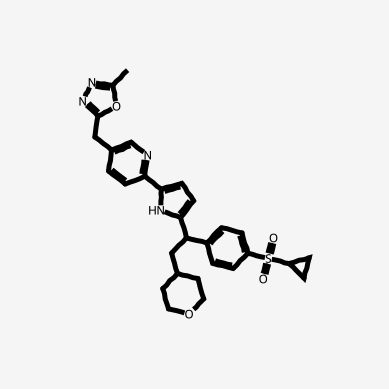 Cc1nnc(Cc2ccc(-c3ccc(C(CC4CCOCC4)c4ccc(S(=O)(=O)C5CC5)cc4)[nH]3)nc2)o1